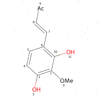 COc1c(O)ccc(/C=C/C(C)=O)c1O